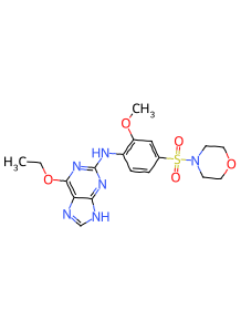 CCOc1nc(Nc2ccc(S(=O)(=O)N3CCOCC3)cc2OC)nc2[nH]cnc12